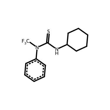 FC(F)(F)N(C(=S)NC1CCCCC1)c1ccccc1